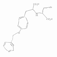 CC(C)CC(NC(Cc1ccc(OCc2ccncc2)cc1)C(=O)O)C(=O)O